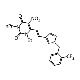 CCCn1c(=O)c([N+](=O)[O-])c(C=Cc2cnn(Cc3ccccc3C(F)(F)F)c2)n(CC)c1=O